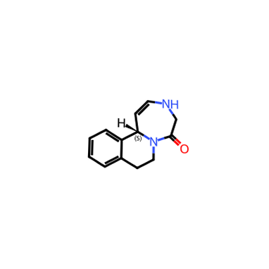 O=C1CNC=C[C@H]2c3ccccc3CCN12